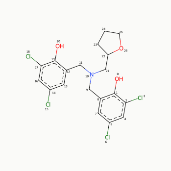 Oc1c(Cl)cc(Cl)cc1CN(Cc1cc(Cl)cc(Cl)c1O)CC1CCCO1